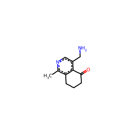 Cc1ncc(CN)c2c1CCCC2=O